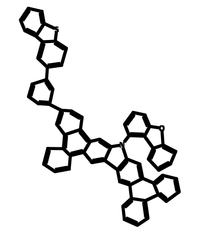 c1cc(-c2ccc3sc4ccccc4c3c2)cc(-c2ccc3c(c2)c2ccccc2c2cc4c5cc6c7ccccc7c7ccccc7c6cc5n(-c5cccc6oc7ccccc7c56)c4cc32)c1